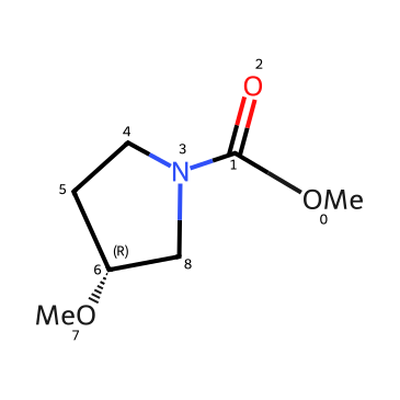 COC(=O)N1CC[C@@H](OC)C1